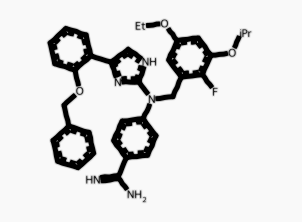 CCOc1cc(CN(c2ccc(C(=N)N)cc2)c2nc(-c3ccccc3OCc3ccccc3)c[nH]2)c(F)c(OC(C)C)c1